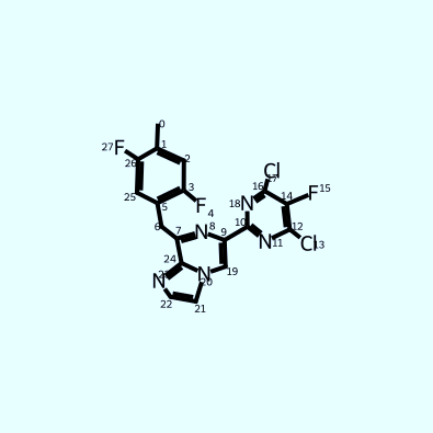 Cc1cc(F)c(Cc2nc(-c3nc(Cl)c(F)c(Cl)n3)cn3ccnc23)cc1F